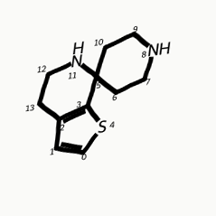 c1cc2c(s1)C1(CCNCC1)NCC2